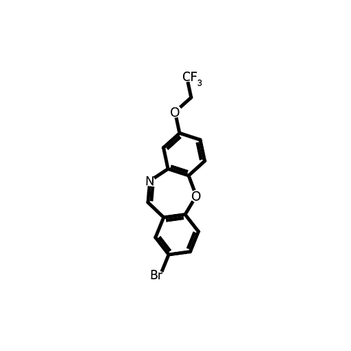 FC(F)(F)COc1ccc2c(c1)N=Cc1cc(Br)ccc1O2